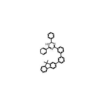 CC1(C)c2ccccc2-c2ccc(-c3cccc(-c4cccc(C5=NC(c6ccccc6)NC(C6=CCCC=C6)=N5)c4)c3)cc21